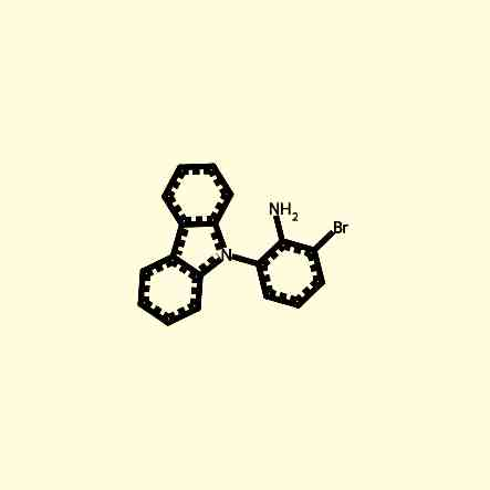 Nc1c(Br)cccc1-n1c2ccccc2c2ccccc21